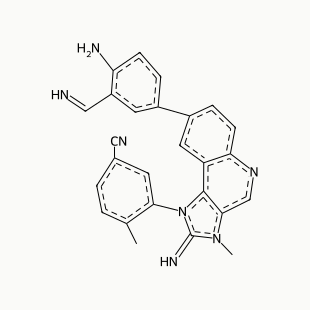 Cc1ccc(C#N)cc1-n1c(=N)n(C)c2cnc3ccc(-c4ccc(N)c(C=N)c4)cc3c21